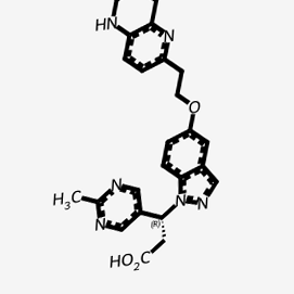 Cc1ncc([C@@H](CC(=O)O)n2ncc3cc(OCCc4ccc5c(n4)CCCN5)ccc32)cn1